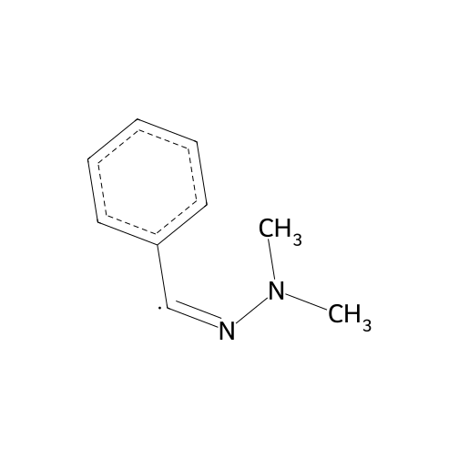 CN(C)/N=[C]\c1ccccc1